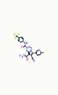 Cc1ccc(-c2c(C#N)c(C(N)=O)c3n2CCN(C(=O)Nc2ccc(C(F)(F)F)cc2)C3)cn1